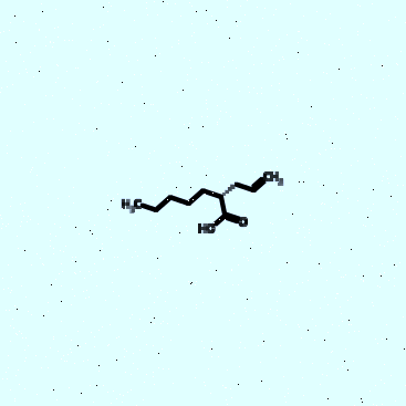 C=CC[C@@H](CCCCC)C(=O)O